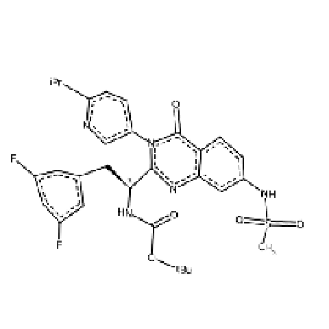 CC(C)c1ccc(-n2c([C@H](Cc3cc(F)cc(F)c3)NC(=O)OC(C)(C)C)nc3cc(NS(C)(=O)=O)ccc3c2=O)cn1